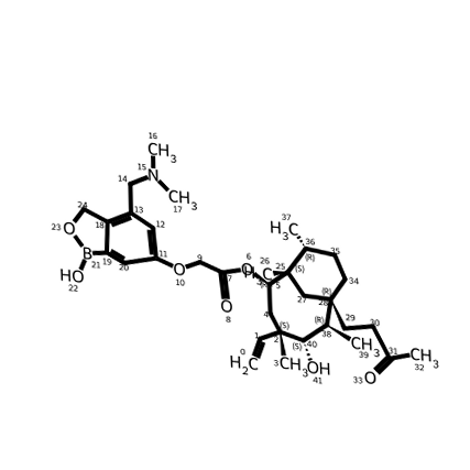 C=C[C@]1(C)C[C@@H](OC(=O)COc2cc(CN(C)C)c3c(c2)B(O)OC3)[C@@]2(C)C[C@](CCC(C)=O)(CC[C@H]2C)[C@@H](C)[C@@H]1O